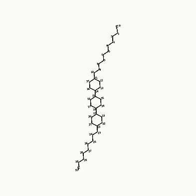 FCCCCCCCCCCC1CCC(C2CCC(C3CCC(CCCCCCCCF)CC3)CC2)CC1